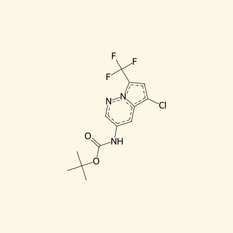 CC(C)(C)OC(=O)Nc1cnn2c(C(F)(F)F)cc(Cl)c2c1